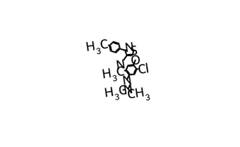 Cc1ccc(-c2nsc(Oc3cc(C)c(N=CN(C)C)cc3Cl)c2C#N)cc1